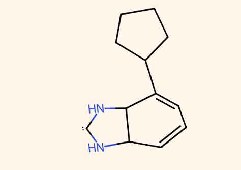 [C]1NC2C=CC=C(C3CCCC3)C2N1